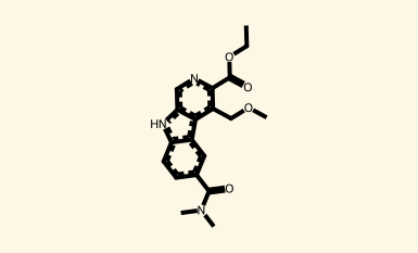 CCOC(=O)c1ncc2[nH]c3ccc(C(=O)N(C)C)cc3c2c1COC